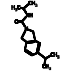 CC(C)NC(=O)N1Cc2ccc(C(C)C)cc2C1